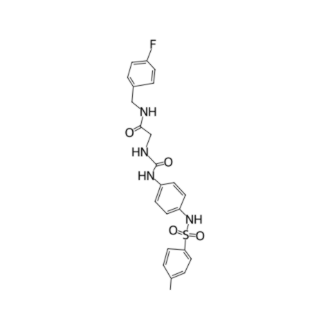 Cc1ccc(S(=O)(=O)Nc2ccc(NC(=O)NCC(=O)NCc3ccc(F)cc3)cc2)cc1